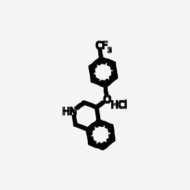 Cl.FC(F)(F)c1ccc(OC2CNCc3ccccc32)cc1